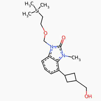 Cn1c(=O)n(COCC[Si](C)(C)C)c2cccc(C3CC(CO)C3)c21